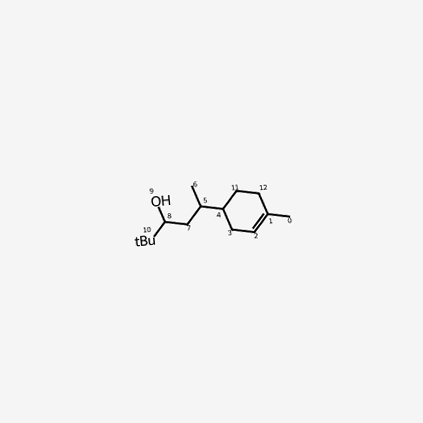 CC1=CCC(C(C)CC(O)C(C)(C)C)CC1